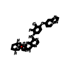 C=CC(=O)N1[C@@H]2CC[C@H]1CC(c1ccc3ncnc(Nc4ccc(Oc5ccn6ncnc6c5)c(Cl)c4F)c3n1)C2